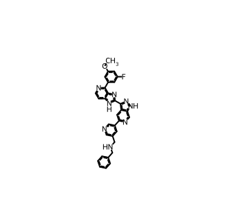 COc1cc(F)cc(-c2nccc3[nH]c(-c4n[nH]c5cnc(-c6cncc(CNCc7ccccc7)c6)cc45)nc23)c1